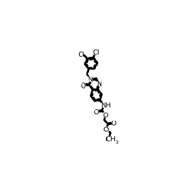 CCOC(=O)COC(=O)Nc1ccc2c(=O)n(Cc3ccc(Cl)c(Cl)c3)cnc2c1